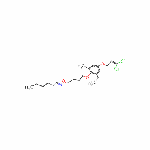 CCCCC/C=N/OCCCCOc1c(C)cc(OCC=C(Cl)Cl)cc1CC